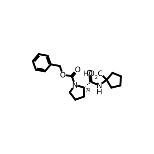 O=C(NC1(C(=O)O)CCCC1)[C@@H]1CCCN1C(=O)OCc1ccccc1